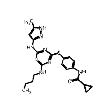 CCCCNc1nc(Nc2cc(C)[nH]n2)nc(Sc2ccc(NC(=O)C3CC3)cc2)n1